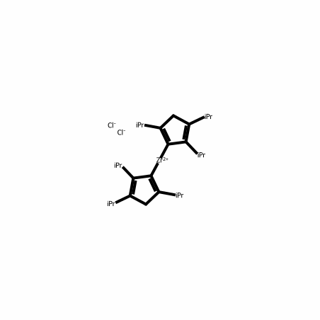 CC(C)C1=[C]([Zr+2][C]2=C(C(C)C)CC(C(C)C)=C2C(C)C)C(C(C)C)=C(C(C)C)C1.[Cl-].[Cl-]